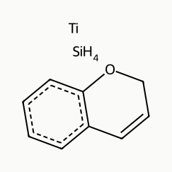 C1=Cc2ccccc2OC1.[SiH4].[Ti]